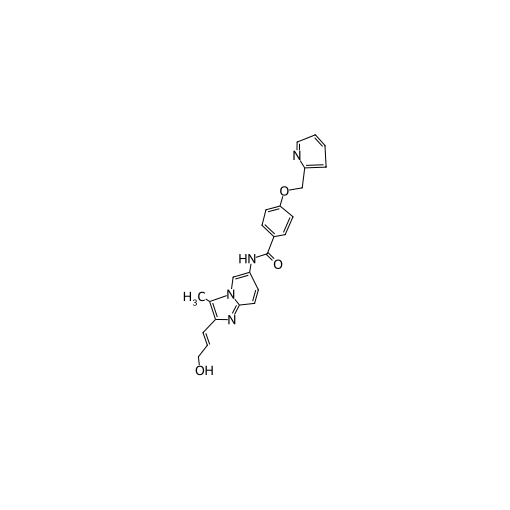 Cc1c(/C=C/CO)nc2ccc(NC(=O)c3ccc(OCc4ccccn4)cc3)cn12